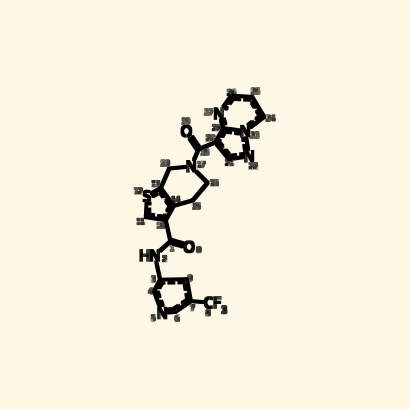 O=C(Nc1cncc(C(F)(F)F)c1)c1csc2c1CCN(C(=O)c1cnn3cccnc13)C2